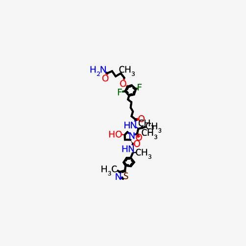 Cc1ncsc1-c1ccc([C@H](C)NC(=O)[C@@H]2C[C@@H](O)CN2C(=O)[C@@H](NC(=O)CCCCCc2cc(F)cc(OC[C@@H](C)CCC(N)=O)c2F)C(C)(C)C)cc1